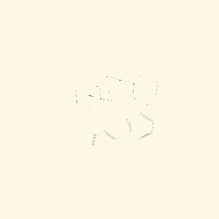 O=C(O)/C=C/c1ccccc1.OC1CCN2C[C@@H]3C[C@@H](CN4CCCC[C@H]34)[C@@H]2C1